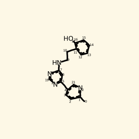 Cc1ccc(-c2cc(NCCc3ccccc3O)ncn2)cn1